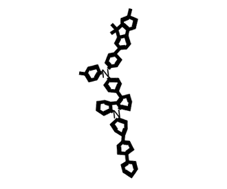 Cc1ccc(N(c2ccc(-c3ccc4c(c3)C(C)(C)c3cc(C)ccc3-4)cc2)c2ccc(-c3cccc4c3c3ccccc3n4-c3ccc(-c4ccc(-c5ccccc5)cc4)cc3)cc2)cc1